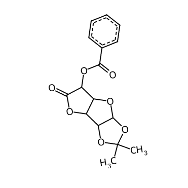 CC1(C)OC2OC3C(OC(=O)c4ccccc4)C(=O)OC3C2O1